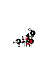 N#C[C@@H](C[C@H]1CCCNC1=O)NC(=O)[C@@H]1[C@H]2CC[C@H](CC2(F)F)N1C(=O)C1(Nc2cccc(Cl)c2)CC1